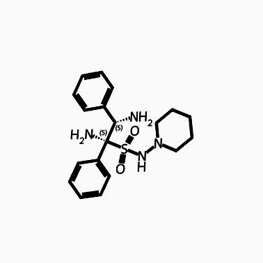 N[C@@H](c1ccccc1)[C@](N)(c1ccccc1)S(=O)(=O)NN1CCCCC1